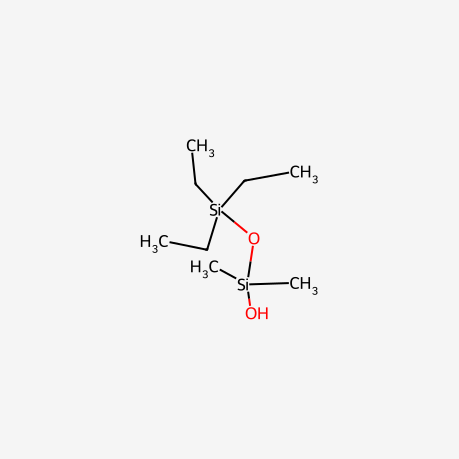 CC[Si](CC)(CC)O[Si](C)(C)O